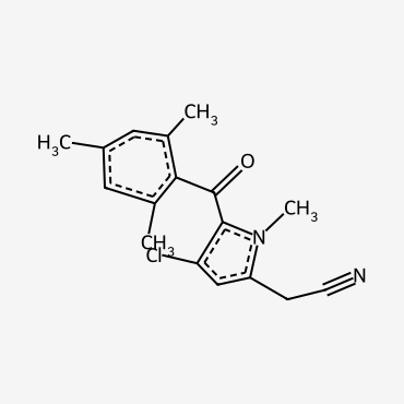 Cc1cc(C)c(C(=O)c2c(Cl)cc(CC#N)n2C)c(C)c1